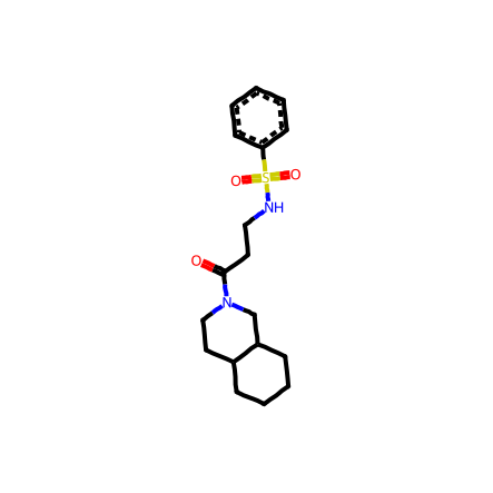 O=C(CCNS(=O)(=O)c1ccccc1)N1CCC2CCCCC2C1